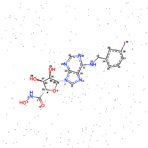 O=C(NO)[C@H]1O[C@@H](n2cnc3c(NCc4cccc(I)c4)ncnc32)[C@H](O)[C@@H]1O